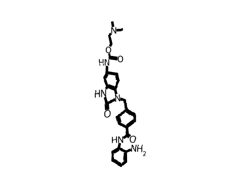 CN(C)CCOC(=O)Nc1ccc2c(c1)[nH]c(=O)n2Cc1ccc(C(=O)Nc2ccccc2N)cc1